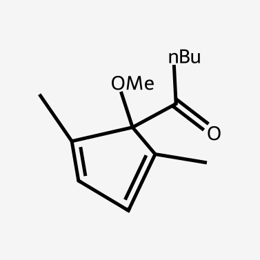 CCCCC(=O)C1(OC)C(C)=CC=C1C